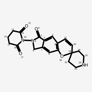 O=C1c2cc3c(cc2CN1N1C(=O)CCCC1=O)OC1(C=C3)CCNCC1